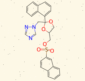 O=S(=O)(OCC1COC(Cn2cncn2)(c2cccc3ccccc23)O1)c1ccc2ccccc2c1